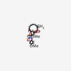 COc1ccc(CN2C(=O)SCC2C2(OC)C[C@H]3C[C@@H](CCCC=CCCC(C)=CC(=O)O3)O2)cc1